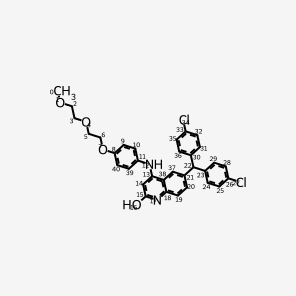 COCCOCCOc1ccc(Nc2cc(O)nc3ccc(C(c4ccc(Cl)cc4)c4ccc(Cl)cc4)cc23)cc1